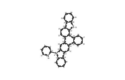 c1ccc(-n2c3ccccc3c3cc4c5ccccc5c5c(ccc6c7ccccc7sc65)c4cc32)nc1